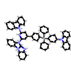 c1ccc([Si](c2ccccc2)(c2ccc(-c3cc(-n4c5ccccc5c5ccccc54)nc(-n4c5ccccc5n5c6ccccc6nc45)c3)cc2)c2ccc(-n3c4ccccc4c4ccccc43)cc2)cc1